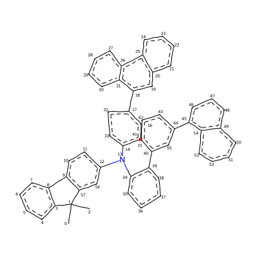 CC1(C)c2ccccc2-c2ccc(N(c3ccc(-c4cc5ccccc5c5ccccc45)cc3)c3ccccc3-c3cccc(-c4cccc5ccccc45)c3)cc21